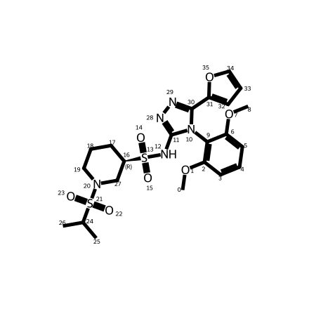 COc1cccc(OC)c1-n1c(NS(=O)(=O)[C@@H]2CCCN(S(=O)(=O)C(C)C)C2)nnc1-c1ccco1